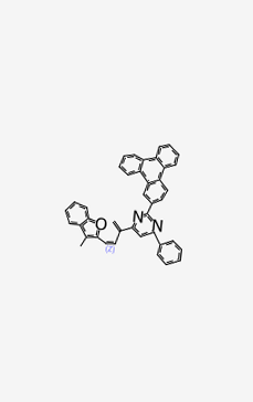 C=C(/C=C\c1oc2ccccc2c1C)c1cc(-c2ccccc2)nc(-c2ccc3c4ccccc4c4ccccc4c3c2)n1